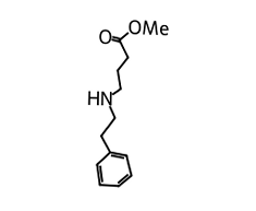 COC(=O)CCCNCCc1ccccc1